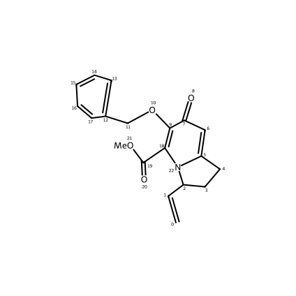 C=CC1CCc2cc(=O)c(OCc3ccccc3)c(C(=O)OC)n21